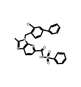 Cc1nc2ccc(C(=O)NS(=O)(=O)c3ccccc3)nc2n1Cc1ccc(-c2ccccc2)cc1Cl